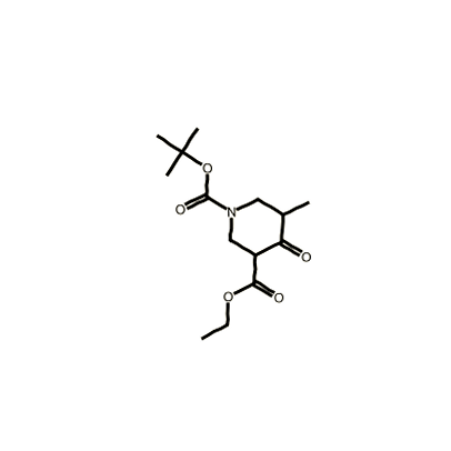 CCOC(=O)C1CN(C(=O)OC(C)(C)C)CC(C)C1=O